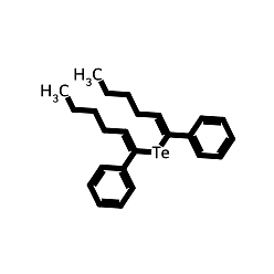 CCCCC=C([Te]C(=CCCCC)c1ccccc1)c1ccccc1